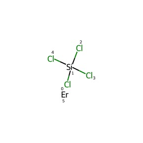 Cl[Si](Cl)(Cl)Cl.[Er]